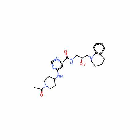 CC(=O)N1CCC(Nc2cc(C(=O)NCC(O)CN3CCCCc4ccccc43)ncn2)CC1